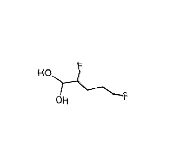 OC(O)C(F)CCCF